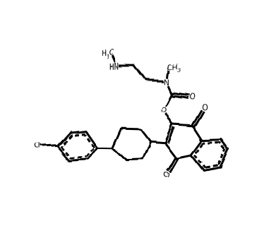 CNCCN(C)C(=O)OC1=C(C2CCC(c3ccc(Cl)cc3)CC2)C(=O)c2ccccc2C1=O